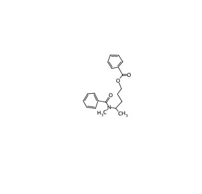 CC(CCCOC(=O)c1ccccc1)N(C)C(=O)c1ccccc1